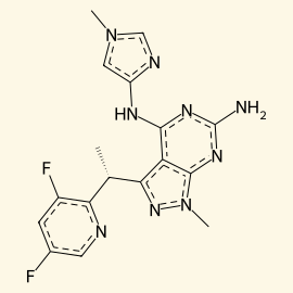 C[C@@H](c1ncc(F)cc1F)c1nn(C)c2nc(N)nc(Nc3cn(C)cn3)c12